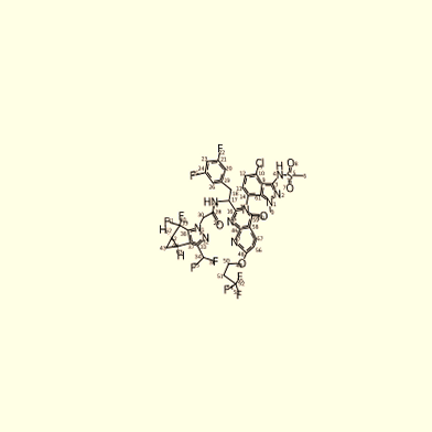 Cn1nc(NS(C)(=O)=O)c2c(Cl)ccc(-n3c(C(Cc4cc(F)cc(F)c4)NC(=O)Cn4nc(C(F)F)c5c4C(F)(F)[C@@H]4C[C@H]54)nc4nc(OCCC(F)(F)F)ccc4c3=O)c21